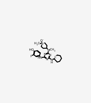 CN(c1nc(Nc2ccc(O)c(F)c2)nc(NC2CCCCCC2)n1)C1CC[N+](C)([O-])CC1